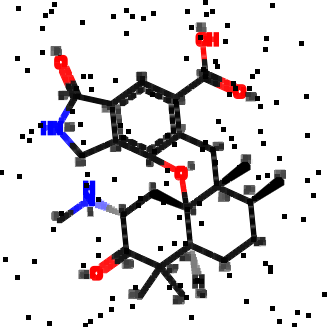 CN[C@@H]1C[C@@]23Oc4c(c(C(=O)O)cc5c4CNC5=O)C[C@]2(C)[C@@H](C)CC[C@H]3C(C)(C)C1=O